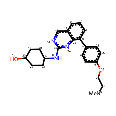 CNCCOc1ccc(-c2cccc3cnc(NC4CCC(O)CC4)nc23)cc1